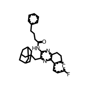 O=C(CCCc1ccccc1)Nc1nc2c(nc1CC13CC4CC(CC(C4)C1)C3)-c1ccc(F)cc1CC2